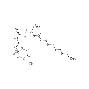 CCCCCCCCCCCCCCCCCCOCC(COC(=O)OCC[N+]1(C)CCCCC1)OC.[Cl-]